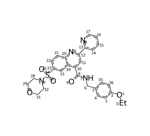 CCOc1ccc(CNC(=O)c2cc(-c3ccccn3)nc3ccc(S(=O)(=O)N4CCOCC4)cc23)cc1